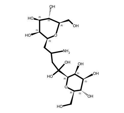 NC(C[C@@H]1O[C@H](CO)[C@@H](O)[C@H](O)[C@@H]1O)CC(O)(O)[C@@H]1O[C@H](CO)[C@@H](O)[C@H](O)[C@@H]1O